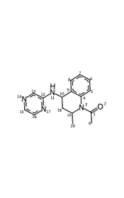 CC(=O)N1c2ccccc2C(Nc2cnccn2)CC1C